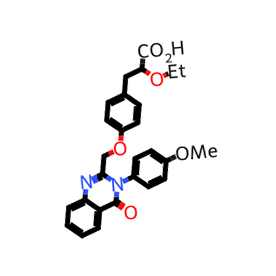 CCOC(Cc1ccc(OCc2nc3ccccc3c(=O)n2-c2ccc(OC)cc2)cc1)C(=O)O